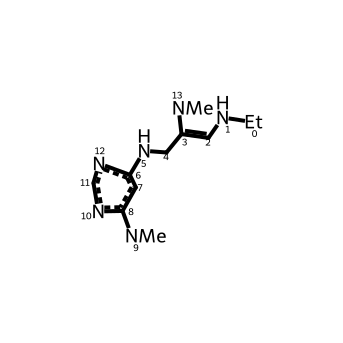 CCN/C=C(/CNc1cc(NC)ncn1)NC